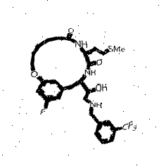 CSCCC1NC(=O)CCCCCOc2cc(F)cc(c2)CC(C(O)CNCc2cccc(C(F)(F)F)c2)NC1=O